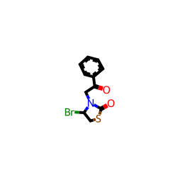 O=C(CN1C(=O)SCC1Br)c1ccccc1